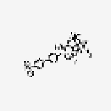 CC1C[C@H](N[C@@H](c2ccc(-c3ccc(S(C)(=O)=O)cc3)cc2)C(F)(F)F)C(=O)C1(N)C1(C#N)CC1